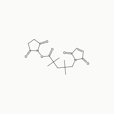 CC(C)(CN1C(=O)C=CC1=O)CC(C)(C)C(=O)ON1C(=O)CCC1=O